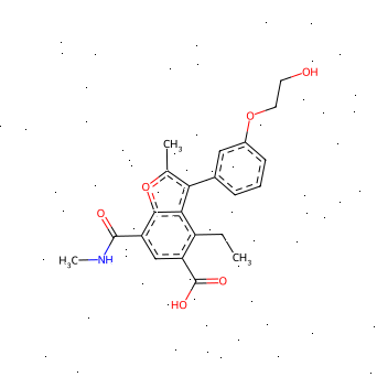 CCc1c(C(=O)O)cc(C(=O)NC)c2oc(C)c(-c3cccc(OCCO)c3)c12